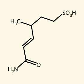 CC(C=CC(N)=O)CCS(=O)(=O)O